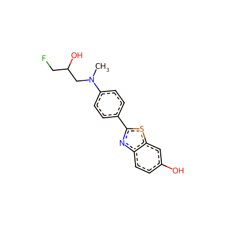 CN(CC(O)CF)c1ccc(-c2nc3ccc(O)cc3s2)cc1